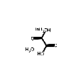 O.O=C(O)C(=O)O.[InH3]